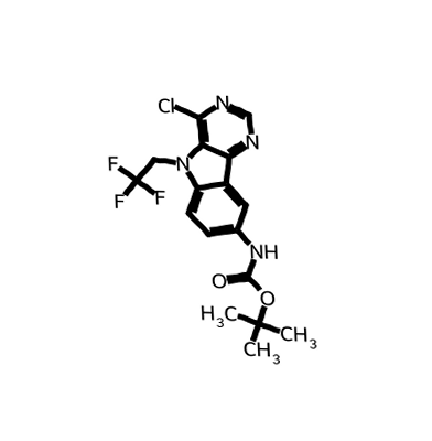 CC(C)(C)OC(=O)Nc1ccc2c(c1)c1ncnc(Cl)c1n2CC(F)(F)F